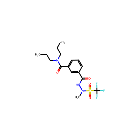 CCCN(CCC)C(=O)c1cccc(C(=O)NN(C)S(=O)(=O)C(F)(F)F)c1